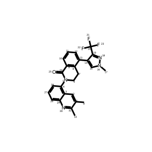 Cc1cc2c(N3CCc4c(cccc4-c4cn(C)nc4C(F)(F)F)C3=O)cccc2nc1C